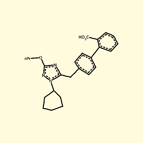 CCCOc1nc(Cc2ccc(-c3ccccc3C(=O)O)cc2)n(C2CCCCC2)n1